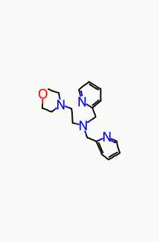 c1ccc(CN(CCN2CCOCC2)Cc2ccccn2)nc1